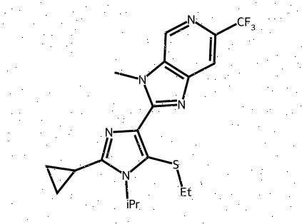 CCSc1c(-c2nc3cc(C(F)(F)F)ncc3n2C)nc(C2CC2)n1C(C)C